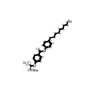 CCCCCC[C@@H](C)Oc1ccc(C(=O)Oc2ccc(CCCCCCCCC(C)CC)cc2)cc1